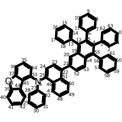 c1ccc(-c2c(-c3ccccc3)c(-c3ccccc3)c3cc(-c4ccc(N(c5ccccc5)c5cccc6oc7ccccc7c56)c5ccccc45)ccc3c2-c2ccccc2)cc1